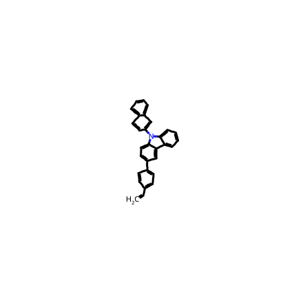 C=Cc1ccc(-c2ccc3c(c2)c2ccccc2n3-c2ccc3ccccc3c2)cc1